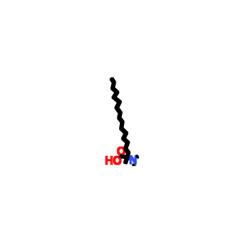 CCCCCCCCCCCCCCCCC(C)(C(=O)O)N(C)C